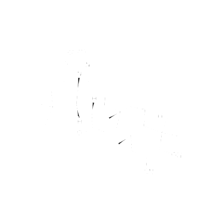 CC1(C)CC[C@]2(n3cccn3)CC[C@]3(C)[C@H](C(=O)C=C4[C@@]5(C)CC(C#N)=C(O)C(C)(C)[C@@H]5CC[C@]43C)[C@@H]2C1